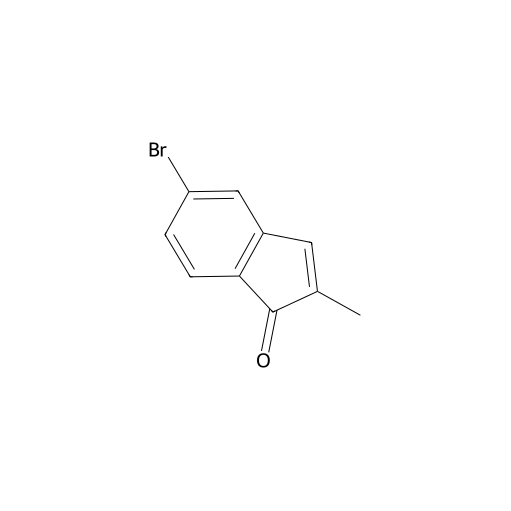 CC1=Cc2cc(Br)ccc2C1=O